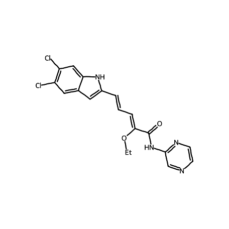 CCO/C(=C\C=C\c1cc2cc(Cl)c(Cl)cc2[nH]1)C(=O)Nc1cnccn1